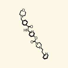 O=C(Nc1ccc(OC(=O)N2CCN(CCc3ccccn3)CC2)cn1)c1ccc(CN2CCOCC2)cc1